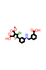 COC(=O)c1c(C(=O)O)sc(-c2cccc(NCc3cccc(C(=O)O)c3)c2)c1Br